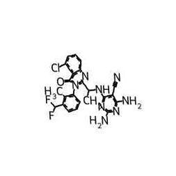 Cc1c(C(F)F)cccc1-n1c(C(C)Nc2nc(N)nc(N)c2C#N)nc2cccc(Cl)c2c1=O